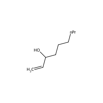 C=CC(O)CCCCCC